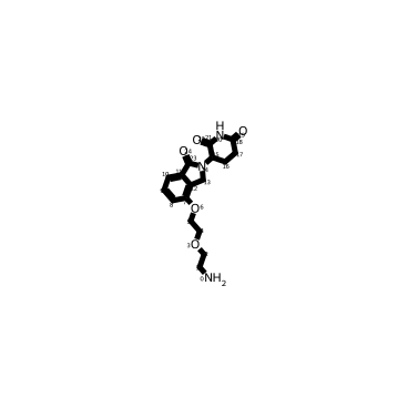 NCCOCCOc1cccc2c1CN(C1CCC(=O)NC1=O)C2=O